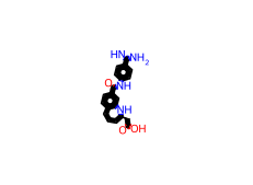 N=C(N)c1ccc(NC(=O)c2ccc3c(c2)N[C@@H](CC(=O)O)CCC3)cc1